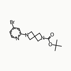 CC(C)(C)OC(=O)N1CC2(C1)CN(c1cc(Br)ccn1)C2